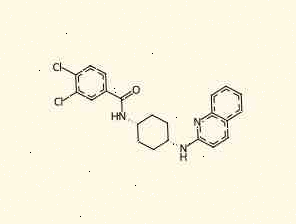 O=C(N[C@H]1CC[C@@H](Nc2ccc3ccccc3n2)CC1)c1ccc(Cl)c(Cl)c1